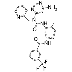 Cc1ccc(NC(=O)c2cccc(C(F)(F)F)c2)cc1NC(=O)N(Cc1ccccn1)c1cc(N)ncn1